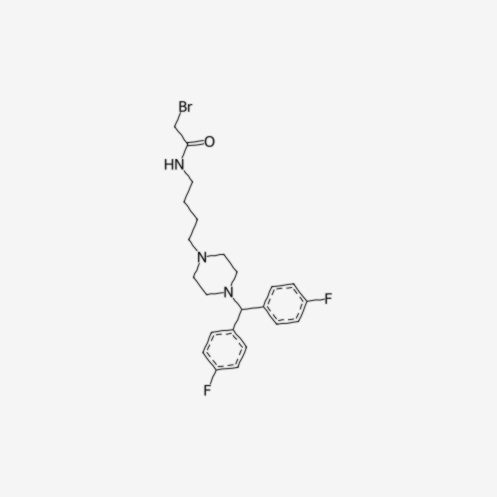 O=C(CBr)NCCCCN1CCN(C(c2ccc(F)cc2)c2ccc(F)cc2)CC1